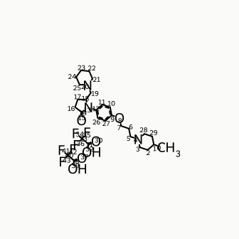 CC1CCN(CCCOc2ccc(N3C(=O)CCC3CN3CCCCC3)cc2)CC1.O=C(O)C(F)(F)F.O=C(O)C(F)(F)F